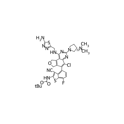 CN(C)[C@H]1CCN(c2nc(NCc3nnc(N)s3)c3c4c(c(-c5ccc(F)c6sc(NC(=O)OC(C)(C)C)c(C#N)c56)c(Cl)c3n2)COC4)C1